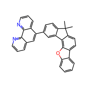 CC1(C)c2ccc(-c3cc4cccnc4c4ncccc34)cc2-c2c1ccc1c2oc2ccccc21